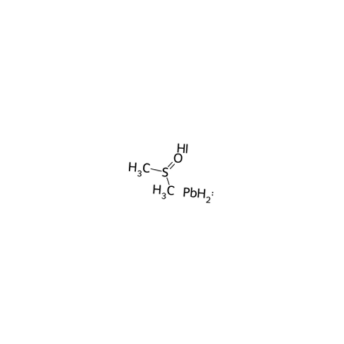 CS(C)=O.I.[PbH2]